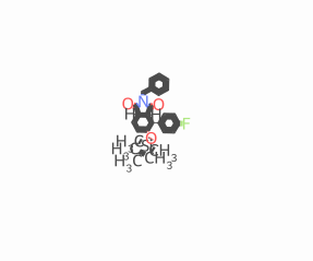 CC(C)(C)[Si](C)(C)OC1=CC[C@H]2C(=O)N(Cc3ccccc3)C(=O)[C@H]2[C@@H]1c1ccc(F)cc1